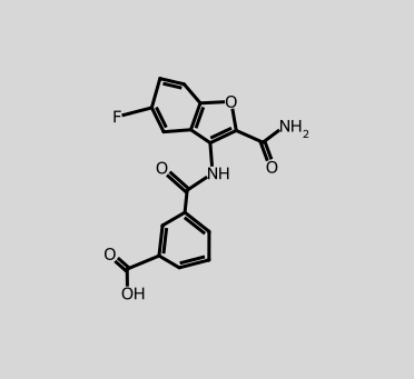 NC(=O)c1oc2ccc(F)cc2c1NC(=O)c1cccc(C(=O)O)c1